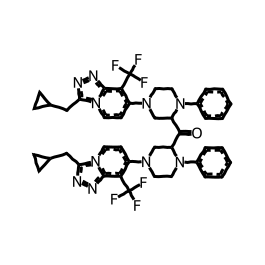 O=C(C1CN(c2ccn3c(CC4CC4)nnc3c2C(F)(F)F)CCN1c1ccccc1)C1CN(c2ccn3c(CC4CC4)nnc3c2C(F)(F)F)CCN1c1ccccc1